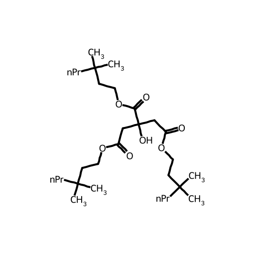 CCCC(C)(C)CCOC(=O)CC(O)(CC(=O)OCCC(C)(C)CCC)C(=O)OCCC(C)(C)CCC